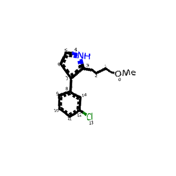 COCCc1[nH]ccc1-c1cccc(Cl)c1